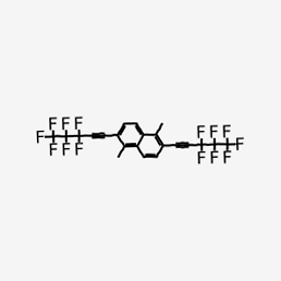 Cc1c(C#CC(F)(F)C(F)(F)C(F)(F)F)ccc2c(C)c(C#CC(F)(F)C(F)(F)C(F)(F)F)ccc12